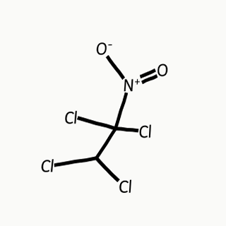 O=[N+]([O-])C(Cl)(Cl)C(Cl)Cl